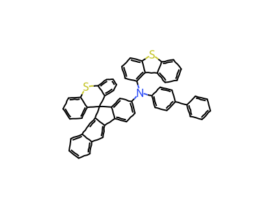 c1ccc(-c2ccc(N(c3ccc4c(c3)C3(c5ccccc5Sc5ccccc53)c3cc5ccccc5cc3-4)c3cccc4sc5ccccc5c34)cc2)cc1